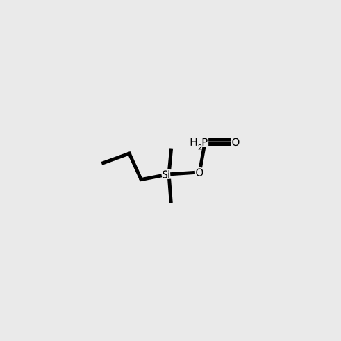 CCC[Si](C)(C)O[PH2]=O